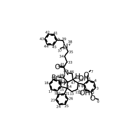 COc1ccc(OC)c([C@@]2(O)[C@H](O)CC(c3ccccc3)(c3ccccc3)[C@@H]3C(Br)N(C(=O)CCC[N+](C)(C)Cc4ccccc4)C[C@@H]32)c1